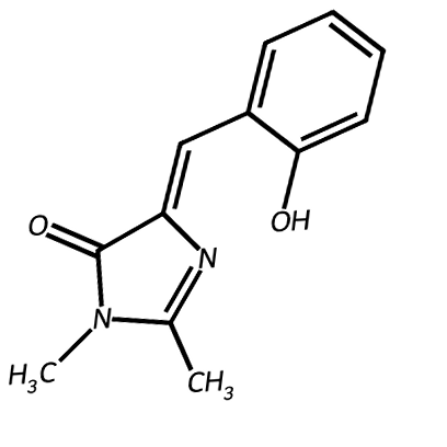 CC1=NC(=Cc2ccccc2O)C(=O)N1C